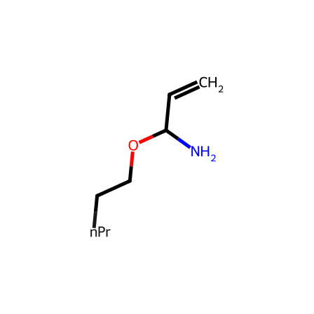 C=CC(N)OCCCCC